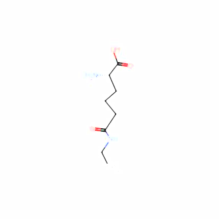 CCNC(=O)CCC[C@H](N)C(=O)O